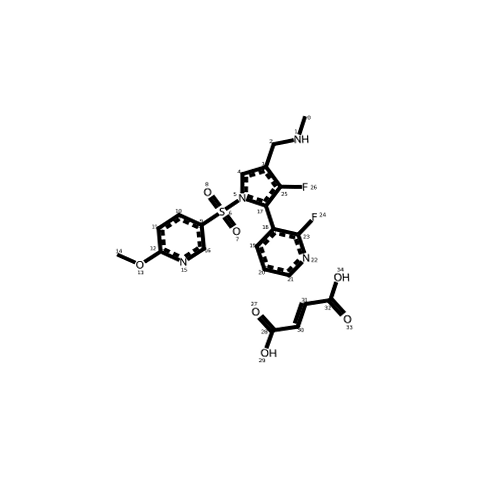 CNCc1cn(S(=O)(=O)c2ccc(OC)nc2)c(-c2cccnc2F)c1F.O=C(O)C=CC(=O)O